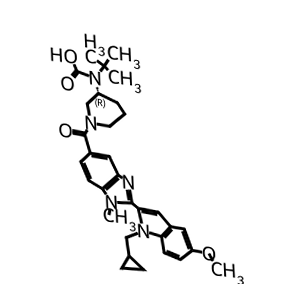 COc1ccc2c(c1)cc(-c1nc3cc(C(=O)N4CCC[C@@H](N(C(=O)O)C(C)(C)C)C4)ccc3n1C)n2CC1CC1